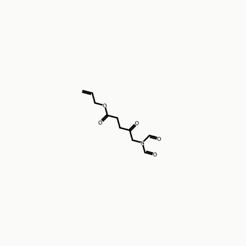 C=CCOC(=O)CCC(=O)CN(C=O)C=O